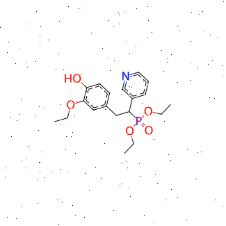 CCOc1cc(CC(c2cccnc2)P(=O)(OCC)OCC)ccc1O